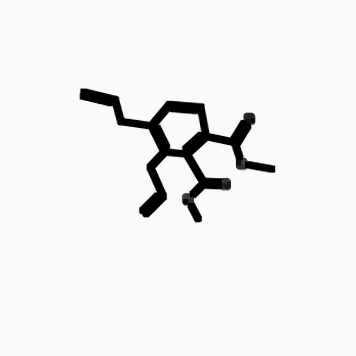 C=CCc1ccc(C(=O)OC)c(C(=O)OC)c1CC=C